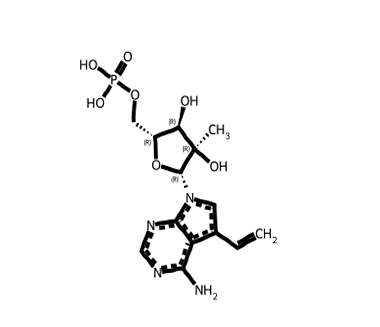 C=Cc1cn([C@@H]2O[C@H](COP(=O)(O)O)[C@@H](O)[C@@]2(C)O)c2ncnc(N)c12